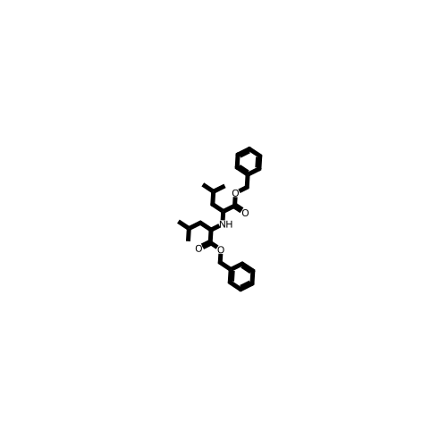 CC(C)CC(NC(CC(C)C)C(=O)OCc1ccccc1)C(=O)OCc1ccccc1